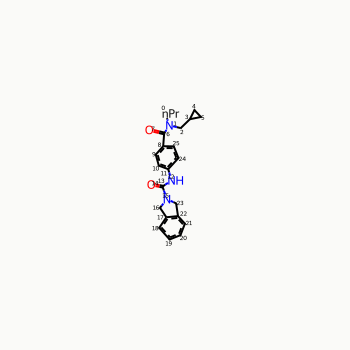 CCCN(CC1CC1)C(=O)c1ccc(NC(=O)N2Cc3ccccc3C2)cc1